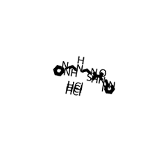 Cl.Cl.Cl.O=C(NCc1ncccn1)c1csc(CCNCCc2nc3ccccc3[nH]2)n1